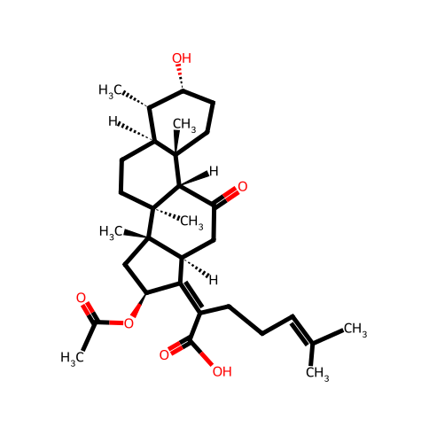 CC(=O)O[C@H]1C[C@@]2(C)[C@@H](CC(=O)[C@H]3[C@@]4(C)CC[C@@H](O)[C@@H](C)[C@@H]4CC[C@@]32C)/C1=C(\CCC=C(C)C)C(=O)O